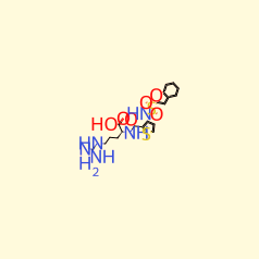 N=C(N)NCCC[C@H](NC(=O)c1sccc1NS(=O)(=O)c1cc2ccccc2o1)C(=O)O